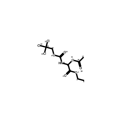 CCOC(=O)C(NC(=O)OCC(Cl)(Cl)Cl)OC(C)=O